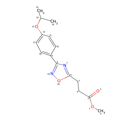 COC(=O)CCc1nc(-c2ccc(OC(C)C)cc2)no1